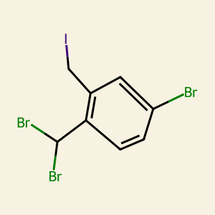 Brc1ccc(C(Br)Br)c(CI)c1